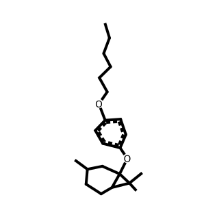 CCCCCCOc1ccc(OC23CC(C)CCC2C3(C)C)cc1